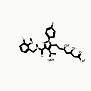 COc1c(F)cccc1CN(C)C(=O)c1nn(-c2ccc(F)cc2)c(CCC(O)CC(O)CC(=O)O)c1C(C)C.[NaH]